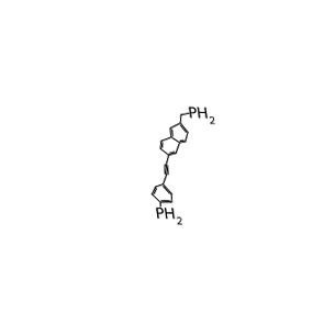 PCc1ccc2cc(C#Cc3ccc(P)cc3)ccc2c1